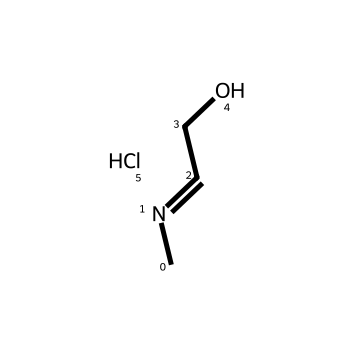 CN=CCO.Cl